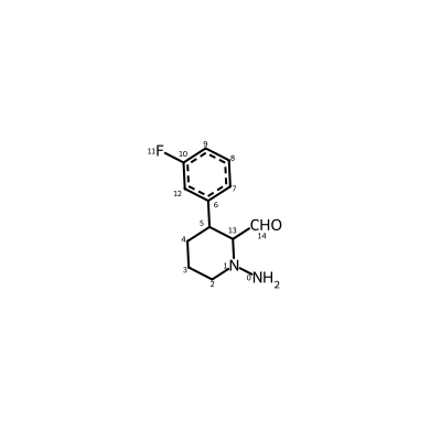 NN1CCCC(c2cccc(F)c2)C1C=O